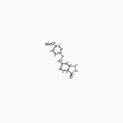 COc1ccc(COc2ccc3c(c2)CCC3=O)cc1